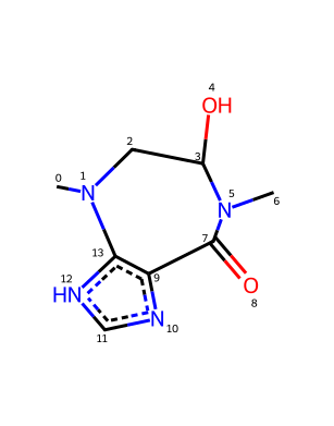 CN1CC(O)N(C)C(=O)c2nc[nH]c21